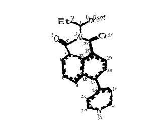 CCCCCC(CC)N1C(=O)c2cccc3c(-c4ccncc4)ccc(c23)C1=O